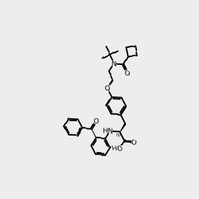 CC(C)(C)N(CCOc1ccc(C[C@H](Nc2ccccc2C(=O)c2ccccc2)C(=O)O)cc1)C(=O)C1CCC1